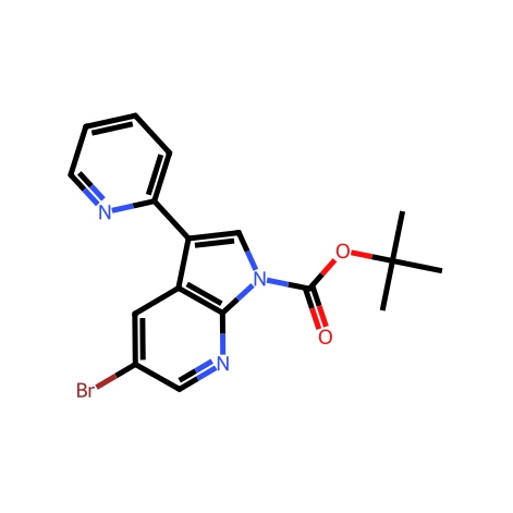 CC(C)(C)OC(=O)n1cc(-c2ccccn2)c2cc(Br)cnc21